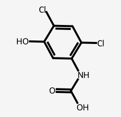 O=C(O)Nc1cc(O)c(Cl)cc1Cl